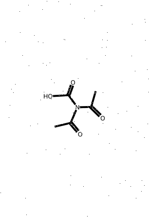 CC(=O)N(C(C)=O)C(=O)O